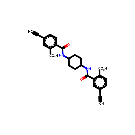 C#Cc1ccc(C(=O)NC2CCC(NC(=O)c3cc(C#C)ccc3C(=O)O)CC2)c(C(=O)O)c1